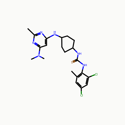 Cc1nc(NC2CCC(NC(=S)Nc3c(C)cc(Cl)cc3Cl)CC2)cc(N(C)C)n1